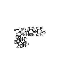 CCC(C)(C)C(NC(=O)c1ccc(N2CCN(C)CC2)cc1)C(=O)N1C[C@H](C)[C@H]2OCC(=O)[C@H]21